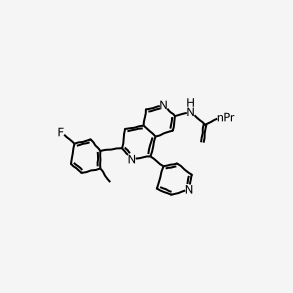 C=C(CCC)Nc1cc2c(-c3ccncc3)nc(-c3cc(F)ccc3C)cc2cn1